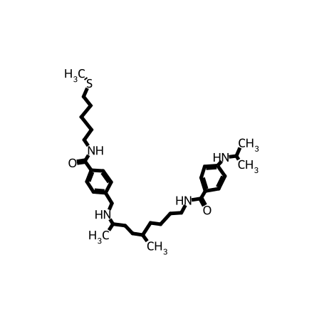 CSCCCCCNC(=O)c1ccc(CNC(C)CCC(C)CCCCNC(=O)c2ccc(NC(C)C)cc2)cc1